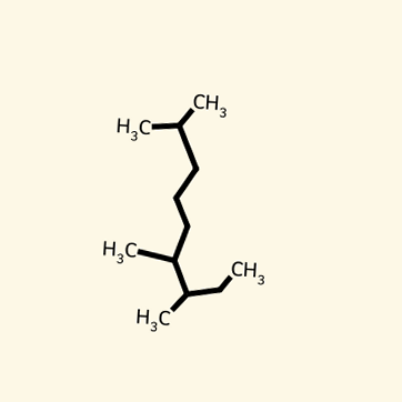 CCC(C)C(C)CCCC(C)C